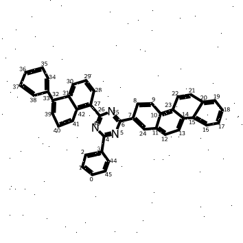 c1ccc(-c2nc(-c3ccc4c(ccc5c6ccccc6ccc45)c3)nc(-c3cccc4c(-c5ccccc5)cccc34)n2)cc1